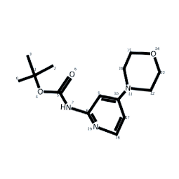 CC(C)(C)OC(=O)Nc1cc(N2CCOCC2)ccn1